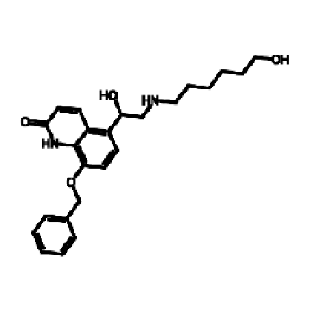 O=c1ccc2c(C(O)CNCCCCCCO)ccc(OCc3ccccc3)c2[nH]1